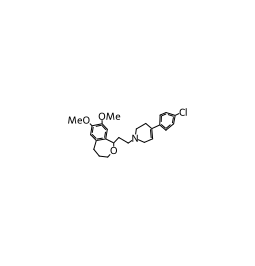 COc1cc2c(cc1OC)C(CCN1CC=C(c3ccc(Cl)cc3)CC1)OCCC2